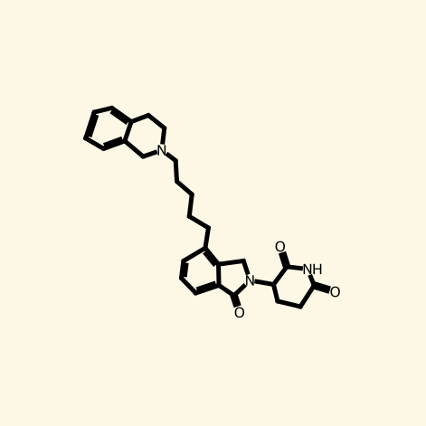 O=C1CCC(N2Cc3c(CCCCCN4CCc5ccccc5C4)cccc3C2=O)C(=O)N1